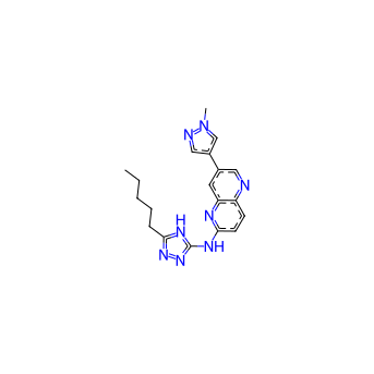 CCCCCc1nnc(Nc2ccc3ncc(-c4cnn(C)c4)cc3n2)[nH]1